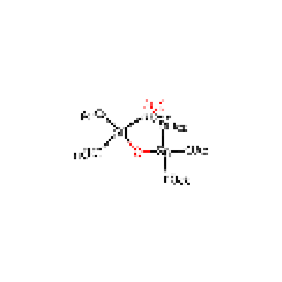 CCCCCCC[CH2][Sn]([CH2]CCCCCCC)([O]C(C)=O)[O][Sn]([CH2]CCCCCCC)([CH2]CCCCCCC)[O]C(C)=O.O